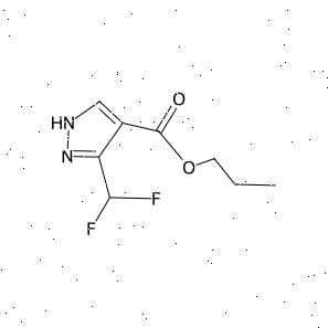 CCCOC(=O)c1c[nH]nc1C(F)F